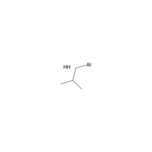 CC(C)[CH2][Al].[HH]